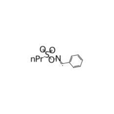 CCCS(=O)(=O)ON=[C]c1ccccc1